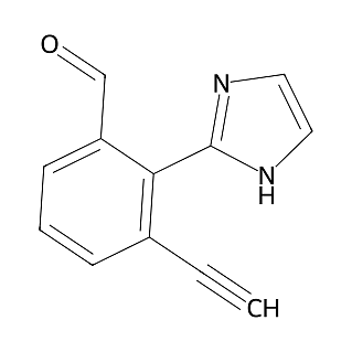 C#Cc1cccc(C=O)c1-c1ncc[nH]1